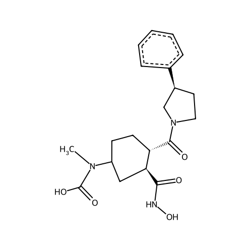 CN(C(=O)O)C1CC[C@H](C(=O)N2CC[C@H](c3ccccc3)C2)[C@@H](C(=O)NO)C1